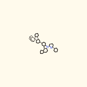 c1ccc(-c2cccc(-n3c4ccc(-c5ccc6c(c5)-c5ccccc5C65C6CC7CC(C6)CC5C7)cc4c4c5ccccc5ccc43)n2)cc1